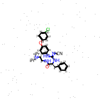 CC(C)N(CCNC(=O)[C@H](Cc1ccccc1)N/C(=N\C#N)Nc1ccc(Oc2ccc(Cl)cc2)cc1)C(C)C